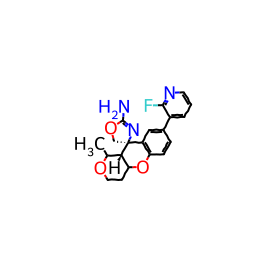 CC1OCCC2Oc3ccc(-c4cccnc4F)cc3[C@@]3(COC(N)=N3)[C@@H]12